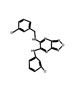 Clc1cccc(CNc2nc3nonc3nc2Nc2cccc(Cl)c2)c1